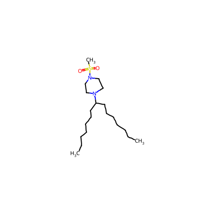 CCCCCCCC(CCCCCCC)N1CCN(S(C)(=O)=O)CC1